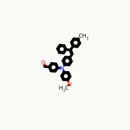 COc1ccc(N(c2ccc(C=O)cc2)c2ccc(/C=C(\c3ccccc3)c3ccc(C)cc3)cc2)cc1